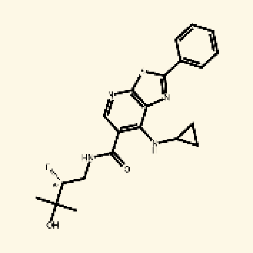 CC(C)(O)[C@H](F)CNC(=O)c1cnc2sc(-c3ccccc3)nc2c1NC1CC1